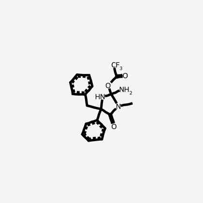 CN1C(=O)C(Cc2ccccc2)(c2ccccc2)NC1(N)OC(=O)C(F)(F)F